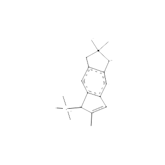 CC1=Cc2cc3c(cc2C1[Si](C)(C)Cl)CC(C)(C)C3